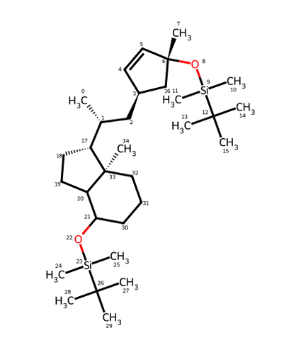 C[C@H](C[C@H]1C=C[C@](C)(O[Si](C)(C)C(C)(C)C)C1)[C@H]1CCC2C(O[Si](C)(C)C(C)(C)C)CCC[C@@]21C